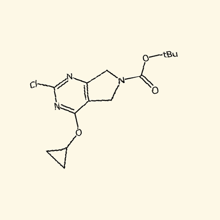 CC(C)(C)OC(=O)N1Cc2nc(Cl)nc(OC3CC3)c2C1